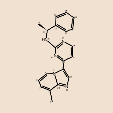 Cc1cccn2c(-c3ccnc(N[C@@H](C)c4ccccc4)n3)cnc12